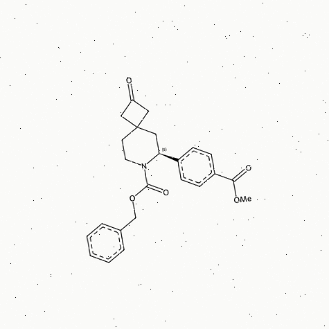 COC(=O)c1ccc([C@@H]2CC3(CCN2C(=O)OCc2ccccc2)CC(=O)C3)cc1